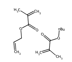 C=C(C)C(=O)OCCCC.C=CCOC(=O)C(=C)C